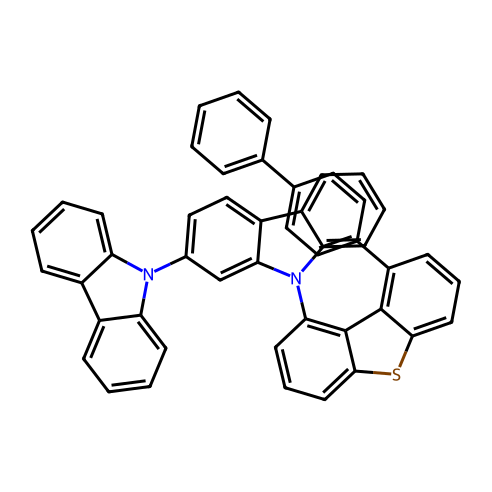 c1ccc(-c2ccc(-c3cccc4sc5cccc(-n6c7ccccc7c7ccc(-n8c9ccccc9c9ccccc98)cc76)c5c34)cc2)cc1